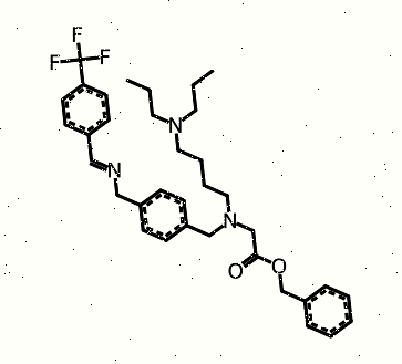 CCCN(CCC)CCCCN(CC(=O)OCc1ccccc1)Cc1ccc(CN=Cc2ccc(C(F)(F)F)cc2)cc1